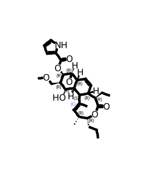 CCC[C@H]1OC(=O)[C@H](CC)[C@H]2C=C[C@H]3[C@H]4O[C@]2(/C(C)=C/[C@H]1C)[C@@H]3[C@H](O)[C@@H](COC)[C@H]4OC(=O)c1ccc[nH]1